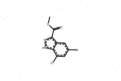 COC(=O)c1n[nH]c2c(Cl)cc(Br)cc12